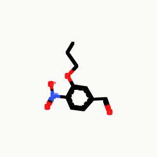 CCCOc1cc(C=O)ccc1[N+](=O)[O-]